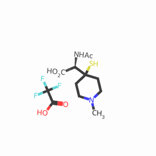 CC(=O)N[C@H](C(=O)O)C1(S)CCN(C)CC1.O=C(O)C(F)(F)F